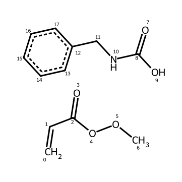 C=CC(=O)OOC.O=C(O)NCc1ccccc1